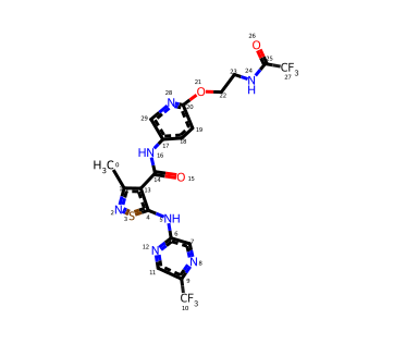 Cc1nsc(Nc2cnc(C(F)(F)F)cn2)c1C(=O)Nc1ccc(OCCNC(=O)C(F)(F)F)nc1